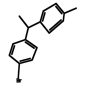 Cc1ccc(C(C)c2ccc(Br)cc2)cc1